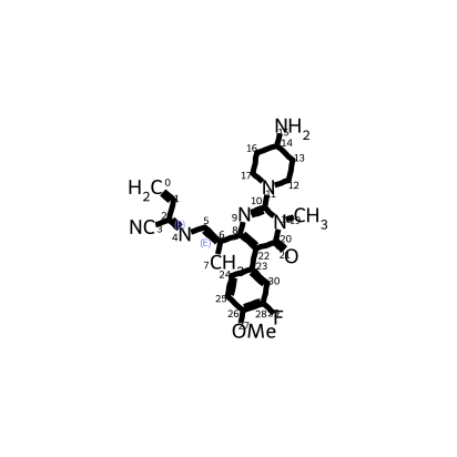 C=C/C(C#N)=N\C=C(/C)c1nc(N2CCC(N)CC2)n(C)c(=O)c1-c1ccc(OC)c(F)c1